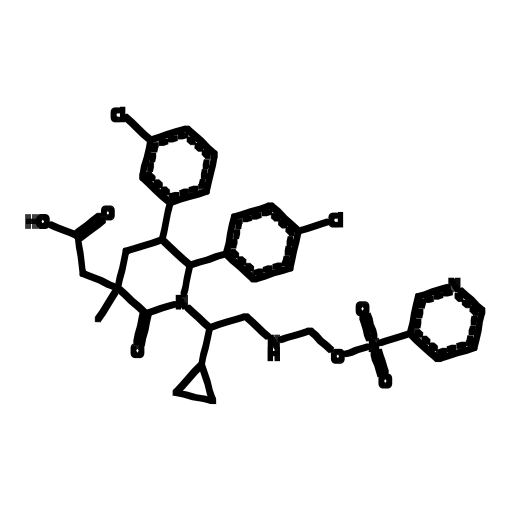 CC1(CC(=O)O)CC(c2cccc(Cl)c2)C(c2ccc(Cl)cc2)N(C(CNCOS(=O)(=O)c2cccnc2)C2CC2)C1=O